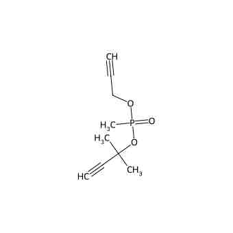 C#CCOP(C)(=O)OC(C)(C)C#C